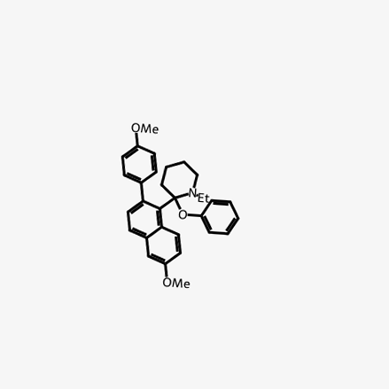 CCN1CCCCC1(Oc1ccccc1)c1c(-c2ccc(OC)cc2)ccc2cc(OC)ccc12